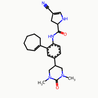 CN1CC(c2ccc(NC(=O)C3CC(C#N)=CN3)c(C3=CCCCCC3)c2)CN(C)C1=O